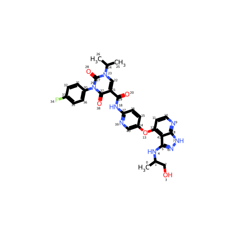 CC(CO)Nc1n[nH]c2nccc(Oc3ccc(NC(=O)c4cn(C(C)C)c(=O)n(-c5ccc(F)cc5)c4=O)nc3)c12